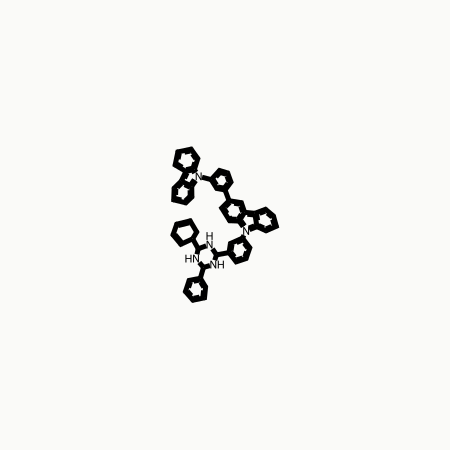 C1=CCC(C2NC(c3ccccc3)NC(c3cccc(-n4c5ccccc5c5cc(-c6cccc(-n7c8ccccc8c8ccccc87)c6)ccc54)c3)N2)C=C1